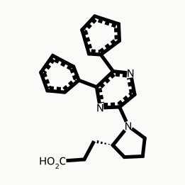 O=C(O)CC[C@H]1CCCN1c1cnc(-c2ccccc2)c(-c2ccccc2)n1